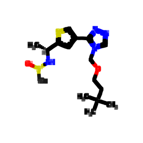 C[C@@H](N[S+]([O-])C(C)(C)C)c1cc(-c2nncn2COCC[Si](C)(C)C)cs1